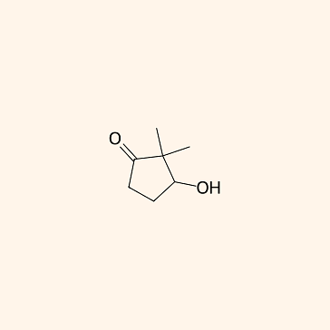 CC1(C)C(=O)CCC1O